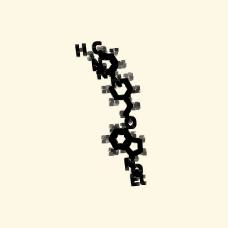 CCON=C1CCc2c(OCCC3CCN(c4ccc(C)nn4)CC3)cccc21